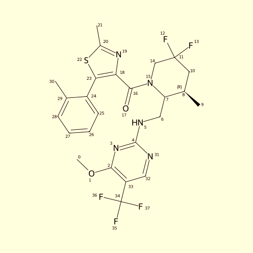 COc1nc(NCC2[C@H](C)CC(F)(F)CN2C(=O)c2nc(C)sc2-c2ccccc2C)ncc1C(F)(F)F